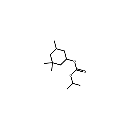 CC1CC(OC(=O)OC(C)I)CC(C)(C)C1